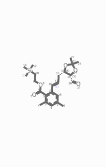 Cc1cc(C)c(C(=O)OCC[Si](C)(C)C)c(/C=C/C[C@@H]2OC(C)(C)O[C@@H]2C=O)c1